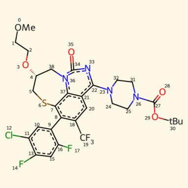 COCCO[C@H]1CSc2c(-c3cc(Cl)c(F)cc3F)c(C(F)(F)F)cc3c(N4CCN(C(=O)OC(C)(C)C)CC4)nc(=O)n(c23)C1